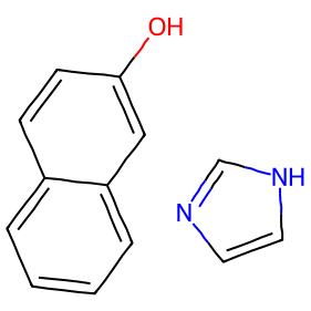 Oc1ccc2ccccc2c1.c1c[nH]cn1